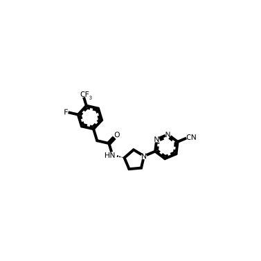 N#Cc1ccc(N2CC[C@H](NC(=O)Cc3ccc(C(F)(F)F)c(F)c3)C2)nn1